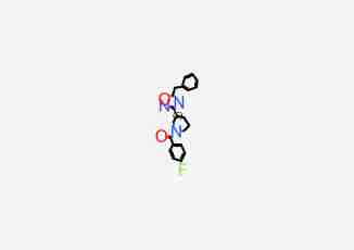 O=C(c1ccc(F)cc1)N1CCC[C@H](c2noc(Cc3ccccc3)n2)C1